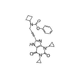 O=C(Oc1ccccc1)N(CC#Cc1nc2c([nH]1)c(=O)n(C1CC1)c(=O)n2C1CC1)C1CCC1